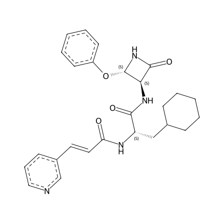 O=C(C=Cc1cccnc1)N[C@@H](CC1CCCCC1)C(=O)N[C@@H]1C(=O)N[C@H]1Oc1ccccc1